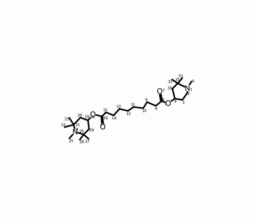 CN1CCC(OC(=O)CCCCCCCCC(=O)OC2CC(C)(C)N(C)C(C)(C)C2)CC1(C)C